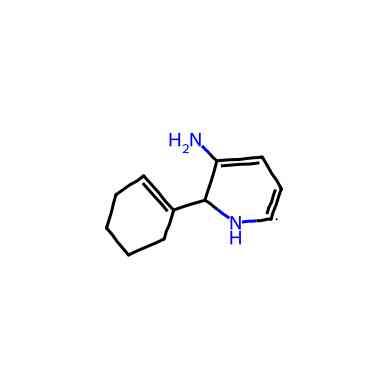 NC1=CC=[C]NC1C1=CCCCC1